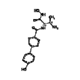 C[C@@H](N)[C@H](NC(=O)c1ccc(-c2ccc(O)cc2)cc1)C(=O)NO